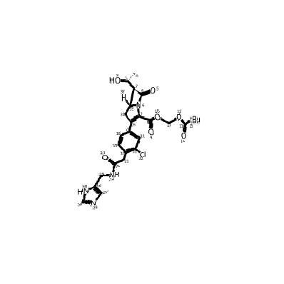 C[C@@H](O)[C@H]1C(=O)N2C(C(=O)OCOC(=O)C(C)(C)C)=C(c3ccc(CC(=O)NCc4cnc[nH]4)c(Cl)c3)C[C@H]12